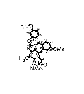 CNS(=O)(=O)CN1C(=O)c2c(nc(Oc3cccc(OC(F)(F)F)c3)n2Cc2ccc(OC)cc2)N(C)C1O